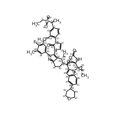 CCS(=O)(=O)C(C)c1ccc(-n2ccn(-c3c4c(nn3-c3cc(C)c(F)c(C)c3)CCN(C(=O)c3cc5cc(C6CCOCC6)ccc5n3[C@@]3(c5noc(=O)[nH]5)C[C@@H]3C)[C@H]4C)c2=O)c(F)c1